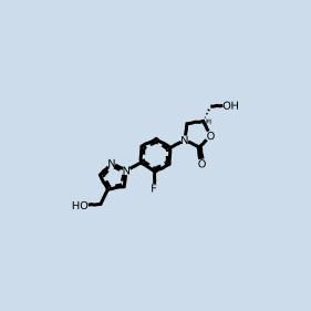 O=C1O[C@@H](CO)CN1c1ccc(-n2cc(CO)cn2)c(F)c1